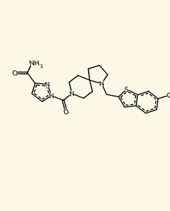 NC(=O)c1ccn(C(=O)N2CCC3(CCCN3Cc3cc4ccc(C(F)(F)F)cc4s3)CC2)n1